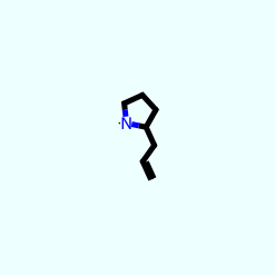 C=CCC1CCC[N]1